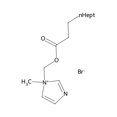 CCCCCCCCCC(=O)OC[N+]1(C)C=CN=C1.[Br-]